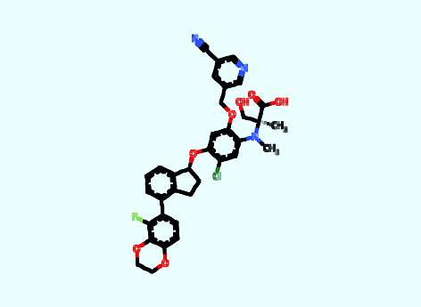 CN(c1cc(Cl)c(O[C@H]2CCc3c(-c4ccc5c(c4F)OCCO5)cccc32)cc1OCc1cncc(C#N)c1)[C@@](C)(CO)C(=O)O